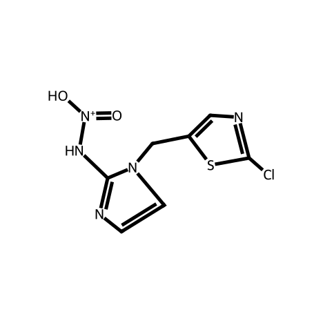 O=[N+](O)Nc1nccn1Cc1cnc(Cl)s1